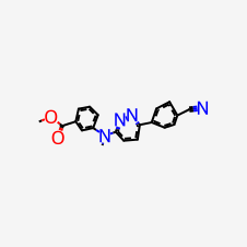 COC(=O)c1cccc(N(C)c2ccc(-c3ccc(C#N)cc3)nn2)c1